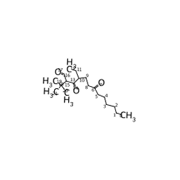 CCCCCCC(=O)CCC(CC)C(=O)C([C]=O)C(C)(C)C